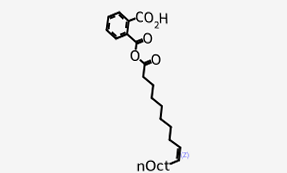 CCCCCCCC/C=C\CCCCCCCC(=O)OC(=O)c1ccccc1C(=O)O